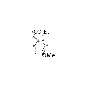 CCOC(=O)C=C1CCC(OC)CC1